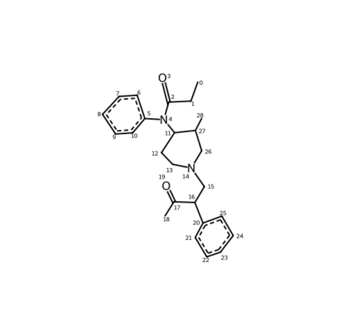 CCC(=O)N(c1ccccc1)C1CCN(CC(C(C)=O)c2ccccc2)CC1C